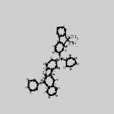 CC1(C)c2ccccc2-c2ccc(N(c3ccccc3)c3ccc4oc5c(-c6ccccc6)c6ccccc6cc5c4c3)cc21